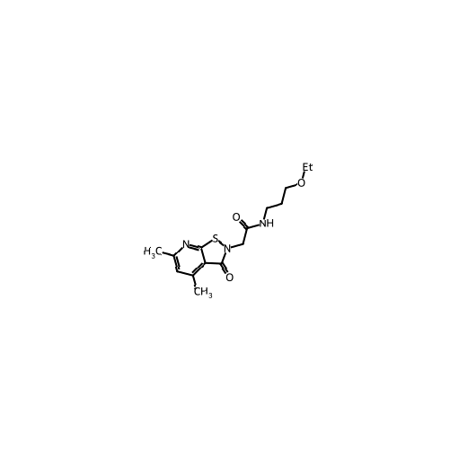 CCOCCCNC(=O)Cn1sc2nc(C)cc(C)c2c1=O